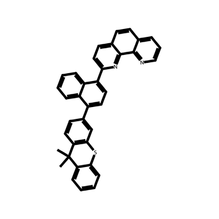 CC1(C)c2ccccc2Sc2cc(-c3ccc(-c4ccc5ccc6cccnc6c5n4)c4ccccc34)ccc21